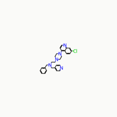 Clc1ccc2c(N3CCN(CCN(Cc4ccccc4)Cc4ccncc4)CC3)ccnc2c1